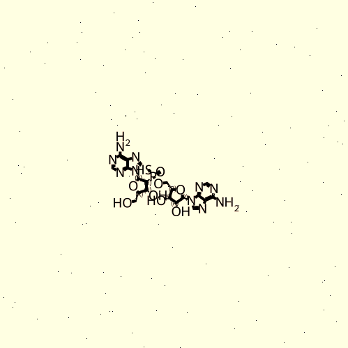 Nc1ncnc2c1ncn2[C@@H]1O[C@H](COP(=O)(S)[C@@H]2[C@H](O)[C@@H](CO)O[C@H]2n2cnc3c(N)ncnc32)[C@@H](O)[C@H]1O